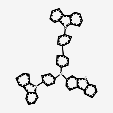 c1ccc2c(c1)sc1cc(N(c3ccc(-c4ccc(-n5c6ccccc6c6ccccc65)cc4)cc3)c3ccc(-n4c5ccccc5c5ccccc54)cc3)ccc12